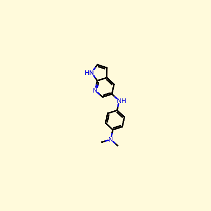 CN(C)c1ccc(Nc2cnc3[nH]ccc3c2)cc1